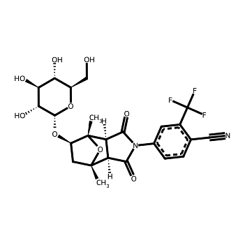 C[C@@]12O[C@@](C)(C[C@H]1O[C@H]1O[C@H](CO)[C@@H](O)[C@H](O)[C@H]1O)[C@@H]1C(=O)N(c3ccc(C#N)c(C(F)(F)F)c3)C(=O)[C@@H]12